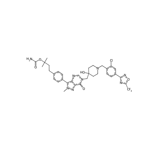 Cn1nc2c(=O)n(CC3(O)CCN(Cc4ccc(-c5noc(C(F)(F)F)n5)cc4Cl)CC3)cnc2c1-c1ccc(CCC(C)(C)OC(N)=O)cc1